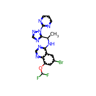 CC(Nc1ncnc2c(OC(F)F)cc(Br)cc12)c1ncnn1-c1ncccn1